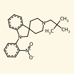 CC(C)(C)CN1CCC2(CC1)CN(c1ccccc1[N+](=O)[O-])c1ccccc12